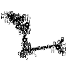 CC[C@H](C)[C@@H]([C@@H](CC(=O)C1CCCN1[C@H](OC)[C@@H](C)C(=O)N[C@H](Cc1ccccc1)C(=O)NCCc1ccc(NC(=O)[C@@H](CCCNC(N)=O)NC(=O)C(NC(=O)COCCOCCOCCOCCNC(=O)c2ccc(NC(=O)CCl)c(NC(=O)CCl)c2)C(C)C)cc1)OC)N(C)C(=O)C(NC(=O)C(C(C)C)N(C)C)C(C)C